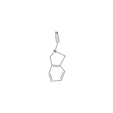 N#CN1Cc2[c]cccc2C1